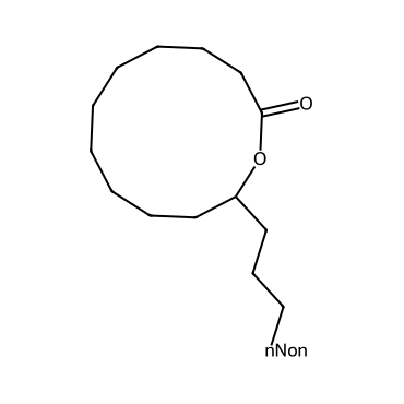 CCCCCCCCCCCCC1CCCCCCCCCC(=O)O1